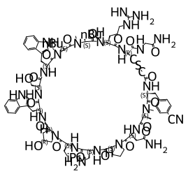 CCCC[C@H]1C(=O)N(C)[C@@H](CCCC)C(=O)N[C@@H](CCCNC(=N)N)C(=O)N[C@H](C(=O)NCC(N)=O)CSCC(=O)N[C@@H](Cc2ccc(C#N)cc2)C(=O)N(C)[C@@H](C)C(=O)N[C@@H](CC(N)=O)C(=O)N2CCC[C@H]2C(=O)N[C@@H](CN)C(=O)N[C@@H](CC(C)C)C(=O)N2C[C@H](O)C[C@H]2C(=O)N[C@@H](Cc2c[nH]c3ccccc23)C(=O)N[C@@H](CO)C(=O)N[C@@H](Cc2c[nH]c3ccccc23)C(=O)N1C